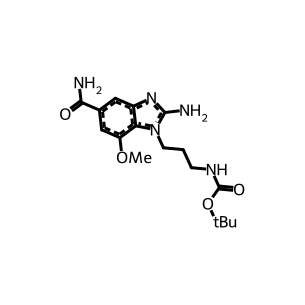 COc1cc(C(N)=O)cc2nc(N)n(CCCNC(=O)OC(C)(C)C)c12